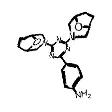 Nc1ccc(-c2nc(N3CC4CCC(C3)O4)nc(N3CC4CCC(C3)O4)n2)cc1